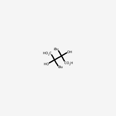 CCC(C)C(O)(C(=O)O)C(O)(C(=O)O)C(C)CC